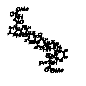 COC(=O)NCC(=O)N1CCC[C@H]1c1ncc(-c2ccc3c(c2)oc2cc(-c4cnc([C@@H]5[C@H]6CCCC(C6)N5C(=O)[C@@H](NC(=O)OC)C(C)C)[nH]4)ccc23)[nH]1